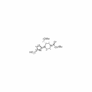 COC[C@@H]1CN(C(=O)OC(C)(C)C)CCN1c1nc(C(=O)O)cs1